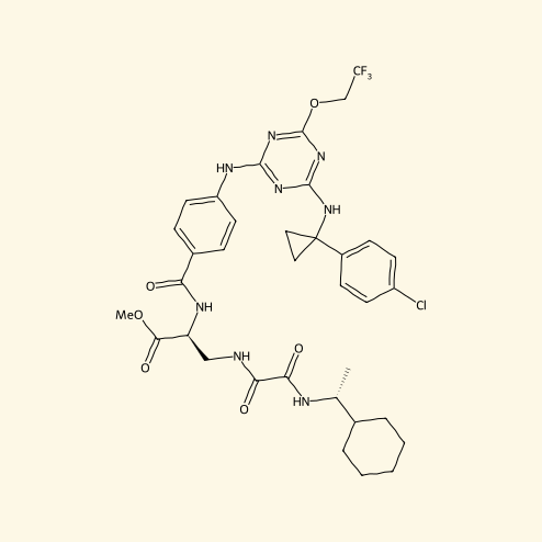 COC(=O)[C@H](CNC(=O)C(=O)N[C@H](C)C1CCCCC1)NC(=O)c1ccc(Nc2nc(NC3(c4ccc(Cl)cc4)CC3)nc(OCC(F)(F)F)n2)cc1